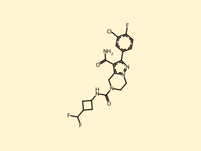 NC(=O)c1c(-c2ccc(F)c(Cl)c2)nn2c1CN(C(=O)NC1CC(C(F)F)C1)CC2